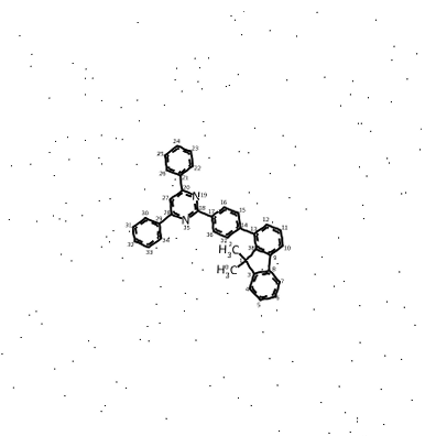 CC1(C)c2ccccc2-c2cccc(-c3ccc(-c4nc(-c5ccccc5)cc(-c5ccccc5)n4)cc3)c21